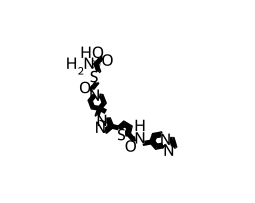 CC1(Cn2cc(-c3ccc(C(=O)NCc4ccn5ccnc5c4)s3)cn2)CCN(C(=O)CSC[C@H](N)C(=O)O)CC1